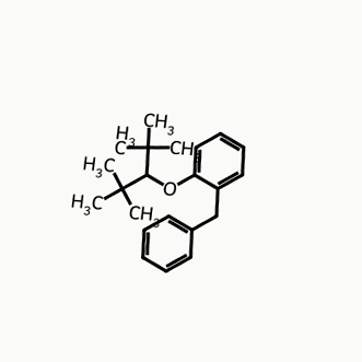 CC(C)(C)C(Oc1ccccc1Cc1ccccc1)C(C)(C)C